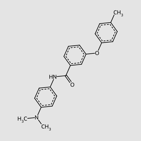 Cc1ccc(Oc2cccc(C(=O)Nc3ccc(N(C)C)cc3)c2)cc1